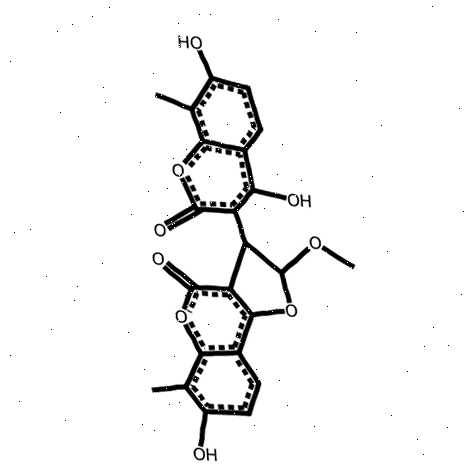 COC1Oc2c(c(=O)oc3c(C)c(O)ccc23)C1c1c(O)c2ccc(O)c(C)c2oc1=O